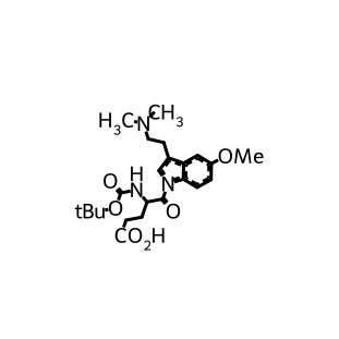 COc1ccc2c(c1)c(CCN(C)C)cn2C(=O)C(CCC(=O)O)NC(=O)OC(C)(C)C